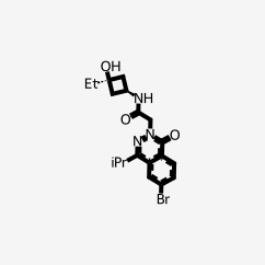 CC[C@]1(O)C[C@@H](NC(=O)Cn2nc(C(C)C)c3cc(Br)ccc3c2=O)C1